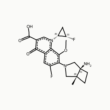 COc1c(N2C[C@@]3(C)CC[C@@]3(N)C2)c(F)cc2c(=O)c(C(=O)O)cn([C@@H]3C[C@@H]3F)c12